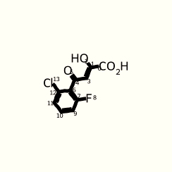 O=C(O)C(O)=CC(=O)c1c(F)cccc1Cl